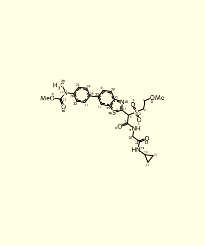 COCCS(=O)(=O)C(C(=O)NCC(=O)NC1CC1)c1nc2ccc(-c3ccc(N(C)C(=O)OC)cc3)cc2s1